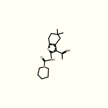 CC(=N)c1c(NC(=O)N2CCCCC2)sc2c1CC(C)(C)CC2